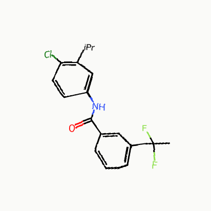 CC(C)c1cc(NC(=O)c2cccc(C(C)(F)F)c2)ccc1Cl